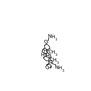 C[C@]12CC[C@H](OCCN)CC1CC[C@@H]1[C@@H]2CC[C@@]2(C)[C@H]1CC[C@@]2(OCCN)c1ccoc1